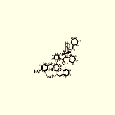 CN[C@@H](Cc1ccccc1)C(=O)N[C@@H](Cc1ccc(O)cc1)C(=O)N1CCC[C@H]1C(=O)C(C1CCCCC1)[C@](N)([C]=O)C(=O)[C@H](N)CC1CCCCC1